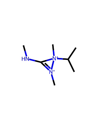 CNC1=[N+](C)[N+]1(C)C(C)C